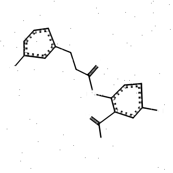 O=C(CCc1cccc(Cl)c1)Nc1ccc(Cl)cc1C(=O)O